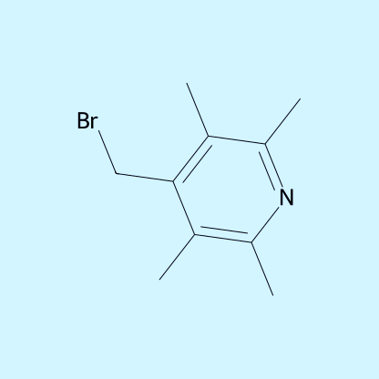 Cc1nc(C)c(C)c(CBr)c1C